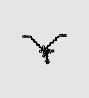 CCCCCCCCCCCCCCCCCCCC(=O)C(OP(=O)([O-])OCC[N+](C)(C)C)(C(=O)CCCCCCCCCCCCCCCCCCC)[C@@H](O)CO